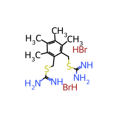 Br.Br.Cc1c(C)c(C)c(CSC(=N)N)c(CSC(=N)N)c1C